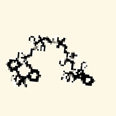 Cn1nnc2c1-c1ccccc1CN(C(=O)CCNC(=O)C(C)(C)CCOC(C)(C)CCNC(=O)CCN1C(=O)C3C4C=CC(C4CCCS(C)(C)C)C3C1=O)c1ccccc1-2